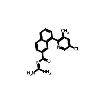 Cc1cc(Cl)cnc1-c1cccc2ccc(C(=O)N=C(N)N)cc12